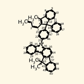 C=C/C=C\C1=C(C)c2ccccc2C1(c1ccccc1)c1ccc(-n2c3ccccc3c3c4c(ccc32)-c2ccccc2C4(C)C)cc1